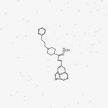 Cl.Cl.O=C(/C=C/C1=Cc2cnc3cccc(n23)S1)C1CCN(CCCc2ccccc2)CC1